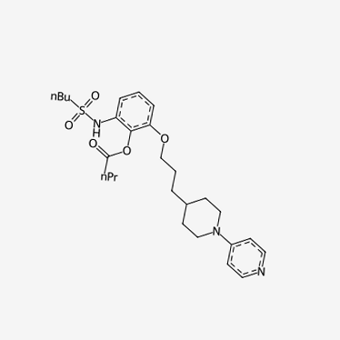 CCCCS(=O)(=O)Nc1cccc(OCCCC2CCN(c3ccncc3)CC2)c1OC(=O)CCC